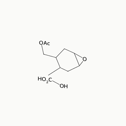 CC(=O)OCC1CC2OC2CC1C.O=C(O)O